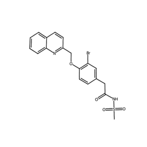 CS(=O)(=O)NC(=O)Cc1ccc(OCc2ccc3ccccc3n2)c(Br)c1